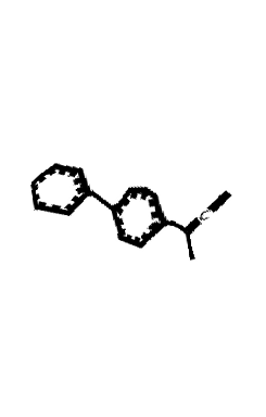 C=C=C(C)c1ccc(-c2ccccc2)cc1